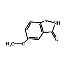 COc1ccc2s[nH]c(=O)c2c1